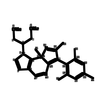 COCC(COC)n1ccc2c1[N+]1(C)N=C(C)C(c3c(C)cc(C)cc3C)=C1N=C2